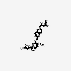 C=C(C#N)CC(C)CN1CCc2nc(COc3nn4c(-c5cc(C)on5)nnc4cc3OC)ccc2C1